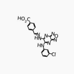 O=C(O)c1ccc(C=NNc2nc3nonc3nc2Nc2cccc(Cl)c2)cc1